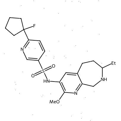 CCC1CCc2cc(NS(=O)(=O)c3ccc(C4(F)CCCC4)nc3)c(OC)nc2CN1